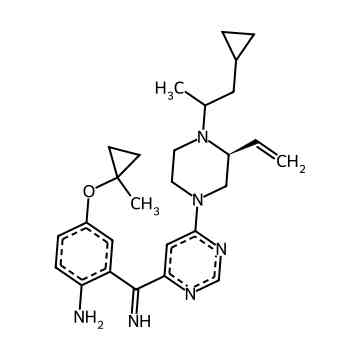 C=C[C@H]1CN(c2cc(C(=N)c3cc(OC4(C)CC4)ccc3N)ncn2)CCN1C(C)CC1CC1